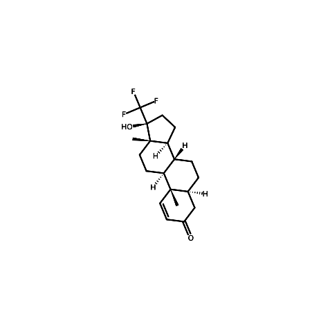 C[C@]12C=CC(=O)C[C@@H]1CC[C@@H]1[C@@H]2CC[C@@]2(C)[C@H]1CC[C@@]2(O)C(F)(F)F